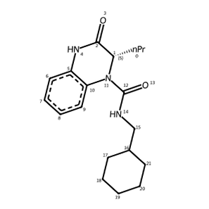 CCC[C@H]1C(=O)Nc2ccccc2N1C(=O)NCC1CCCCC1